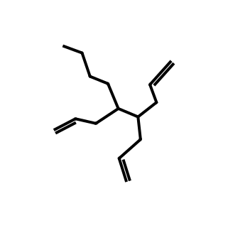 C=CC[C](CC=C)C(CC=C)CCCC